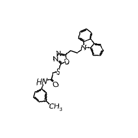 Cc1cccc(NC(=O)CSc2nnc(CCn3c4ccccc4c4ccccc43)o2)c1